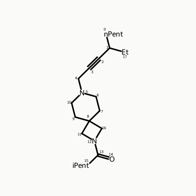 CCCCCC(C#CCN1CCC2(CC1)CN(C(=O)C(C)CCC)C2)CC